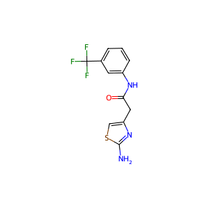 Nc1nc(CC(=O)Nc2cccc(C(F)(F)F)c2)cs1